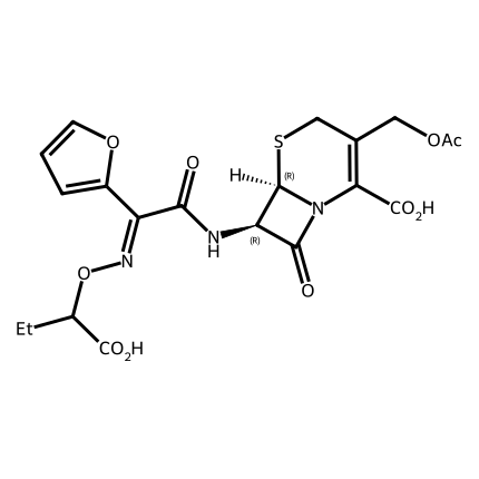 CCC(ON=C(C(=O)N[C@@H]1C(=O)N2C(C(=O)O)=C(COC(C)=O)CS[C@H]12)c1ccco1)C(=O)O